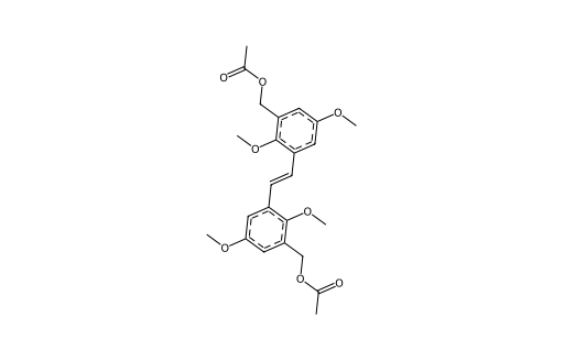 COc1cc(/C=C/c2cc(OC)cc(COC(C)=O)c2OC)c(OC)c(COC(C)=O)c1